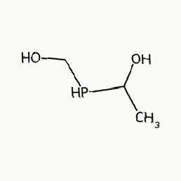 CC(O)PCO